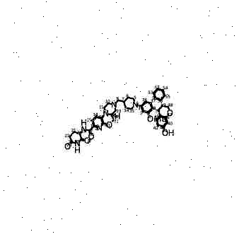 COc1cc(N2CCC(CN3CCN4c5ccc(C(=O)NC6CCC(=O)NC6=O)nc5OC[C@H]4C3)CC2)ccc1[C@H]1c2ccc(O)cc2OC[C@H]1c1ccccc1